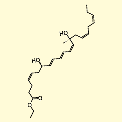 CC/C=C\C/C=C\C[C@](C)(O)\C=C/C=C/C=C/[C@H](O)C/C=C\CCC(=O)OCC